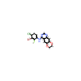 FC1=C(Br)C(Cl)CC=C1Nc1ncnc2cc3c(cc12)OCCO3